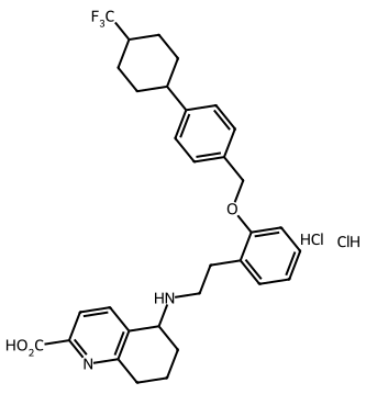 Cl.Cl.O=C(O)c1ccc2c(n1)CCCC2NCCc1ccccc1OCc1ccc(C2CCC(C(F)(F)F)CC2)cc1